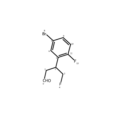 O=CCC(CF)c1cc(Br)ccc1F